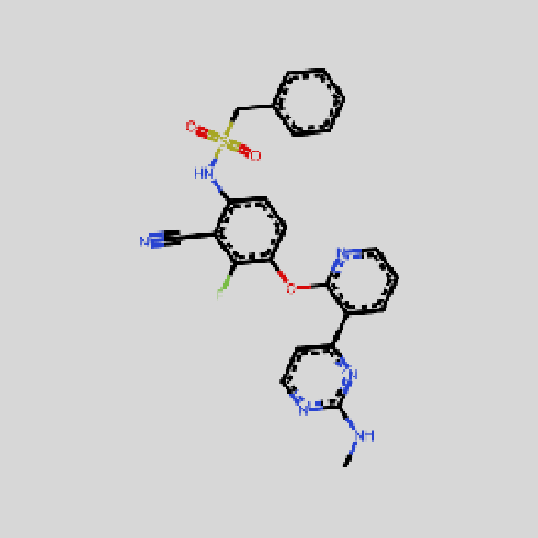 CNc1nccc(-c2cccnc2Oc2ccc(NS(=O)(=O)Cc3ccccc3)c(C#N)c2F)n1